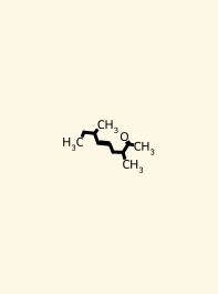 CCC(C)C=CCC(C)C(C)=O